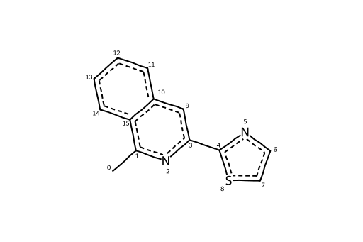 Cc1nc(-c2nccs2)cc2ccccc12